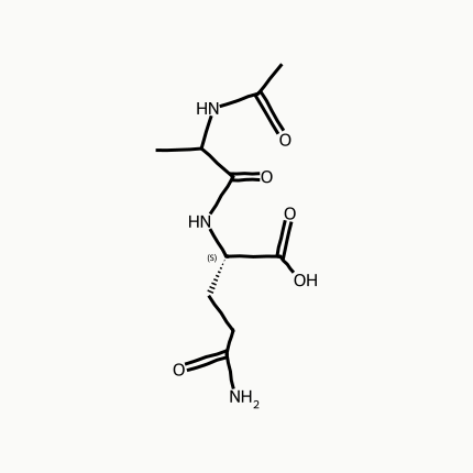 CC(=O)NC(C)C(=O)N[C@@H](CCC(N)=O)C(=O)O